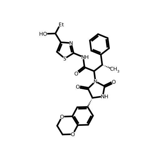 CCC(O)c1csc(NC(=O)C([C@@H](C)c2ccccc2)N2C(=O)N[C@H](c3ccc4c(c3)OCCO4)C2=O)n1